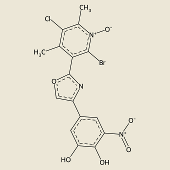 Cc1c(Cl)c(C)[n+]([O-])c(Br)c1-c1nc(-c2cc(O)c(O)c([N+](=O)[O-])c2)co1